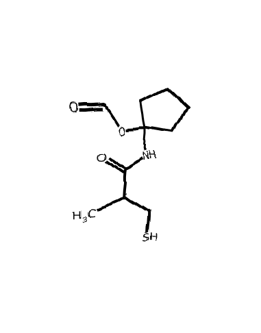 CC(CS)C(=O)NC1(OC=O)CCCC1